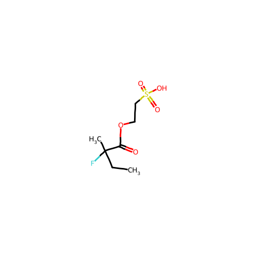 CCC(C)(F)C(=O)OCCS(=O)(=O)O